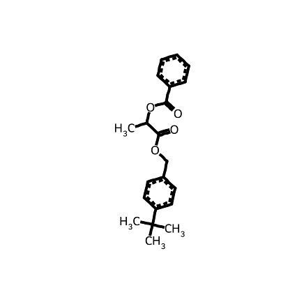 CC(OC(=O)c1ccccc1)C(=O)OCc1ccc(C(C)(C)C)cc1